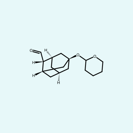 O=C[C@@H]1[C@@H]2C[C@@H]3C[C@H]1C[C@@](OC1CCCCO1)(C3)C2